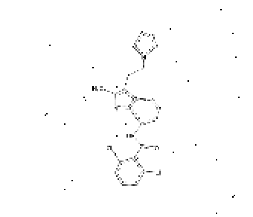 Cc1nc2c(NC(=O)c3c(Cl)cccc3Cl)cccn2c1CCn1ccnc1